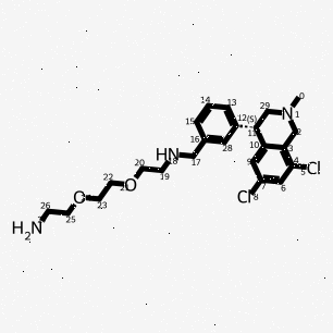 CN1Cc2c(Cl)cc(Cl)cc2[C@H](c2cccc(CNCCOCCOCCN)c2)C1